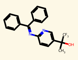 CC(O)(c1ccc(N=C(c2ccccc2)c2ccccc2)nc1)C(F)(F)F